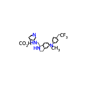 CN(c1ccc(CC(F)(F)F)cc1)c1ccc2c(c1)CCNC2CNc1cnccc1C(=O)O